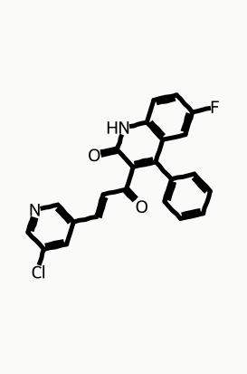 O=C(/C=C/c1cncc(Cl)c1)c1c(-c2ccccc2)c2cc(F)ccc2[nH]c1=O